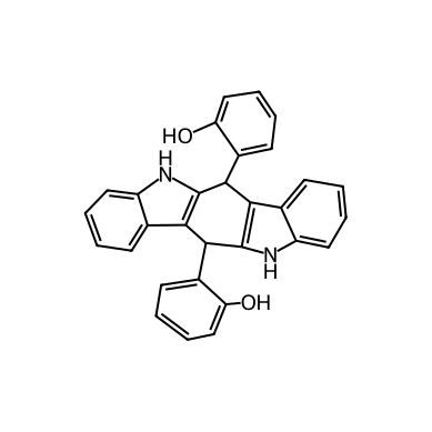 Oc1ccccc1C1c2[nH]c3ccccc3c2C(c2ccccc2O)c2[nH]c3ccccc3c21